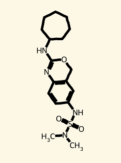 CN(C)S(=O)(=O)Nc1ccc2c(c1)COC(NC1CCCCCC1)=N2